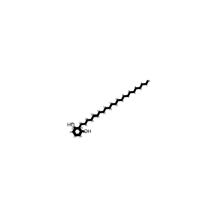 CCCCCCCCCCCCCCCCCC=CCCCCc1c(O)cccc1O